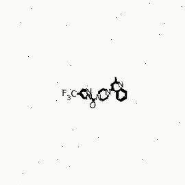 Cc1cc(N2CCN(C(=O)n3cc(C(F)(F)F)cn3)CC2)c2ccccc2n1